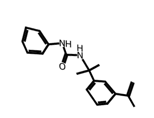 C=C(C)c1cccc(C(C)(C)NC(=O)Nc2ccccc2)c1